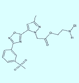 CCN(CC)CCOC(=O)Cn1nc(C)cc1-c1nc(-c2cccc(S(C)(=O)=O)c2)no1